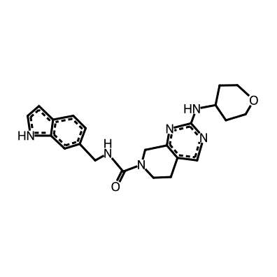 O=C(NCc1ccc2cc[nH]c2c1)N1CCc2cnc(NC3CCOCC3)nc2C1